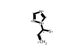 C=CC([S])n1cncn1